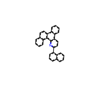 c1ccc2c(-c3ccc4c5ccccc5c5ccc6ccccc6c5c4n3)cccc2c1